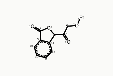 CCOCC(=O)C1OC(=O)c2ccccc21